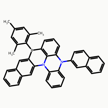 Cc1cc(C)c(B2c3cc4ccccc4cc3N3c4ccccc4N(c4ccc5ccccc5c4)c4cccc2c43)c(C)c1